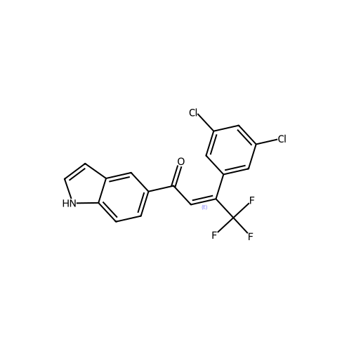 O=C(/C=C(\c1cc(Cl)cc(Cl)c1)C(F)(F)F)c1ccc2[nH]ccc2c1